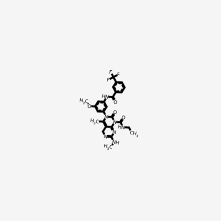 CCNC(=O)N1C(=O)N(c2cc(NC(=O)c3cccc(C(F)(F)F)c3)cc(OC)c2)C(C)=C2CN=C(NC)N=C21